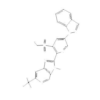 CCS(=O)(=O)c1cc(-n2ncc3ccccc32)cnc1-c1nc2cc(C(F)(F)F)ncc2n1C